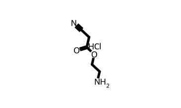 Cl.N#CCC(=O)OCCN